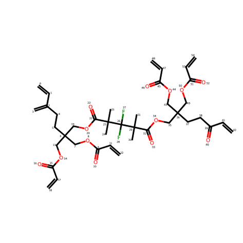 C=CC(=C)CCC(COC(=O)C=C)(COC(=O)C=C)COC(=O)C(C)(C)C(F)(F)C(C)(C)C(=O)OCC(CCC(=O)C=C)(COC(=O)C=C)COC(=O)C=C